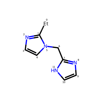 CCc1nccn1Cc1ncc[nH]1